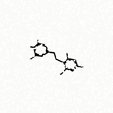 Cc1cc(Cl)c(CCc2cc(F)c(C)c(Cl)c2)c(Cl)c1